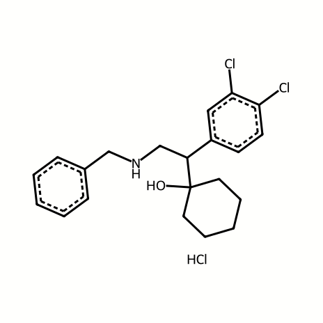 Cl.OC1(C(CNCc2ccccc2)c2ccc(Cl)c(Cl)c2)CCCCC1